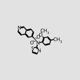 COc1cc(C)ccc1N(c1nccs1)S(=O)(=O)c1ccc2cnccc2c1